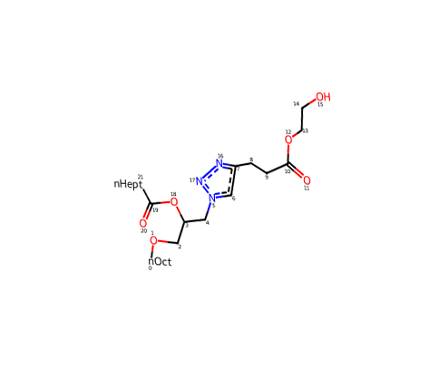 CCCCCCCCOCC(Cn1cc(CCC(=O)OCCO)nn1)OC(=O)CCCCCCC